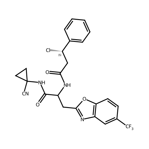 N#CC1(NC(=O)C(Cc2nc3cc(C(F)(F)F)ccc3o2)NC(=O)C[C@H](Cl)c2ccccc2)CC1